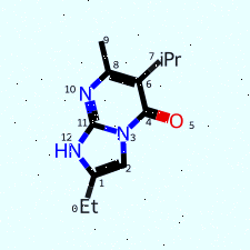 CCc1cn2c(=O)c(C(C)C)c(C)nc2[nH]1